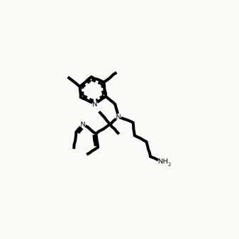 C/C=N\C(=C/C)C(C)(C)N(CCCCN)Cc1ncc(C)cc1C